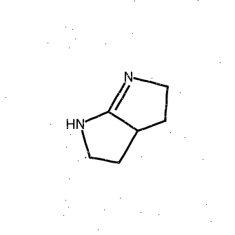 [CH]1CC2CCN=C2N1